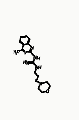 Cc1nc(NC(=N)NCCSN2CCOCC2)nc2ccccc12